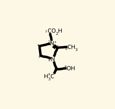 CC1=[N+](C(=O)O)CCN1C(C)O